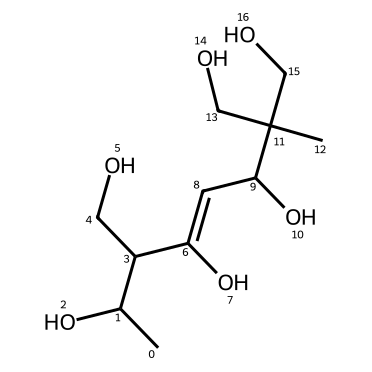 CC(O)C(CO)C(O)=CC(O)C(C)(CO)CO